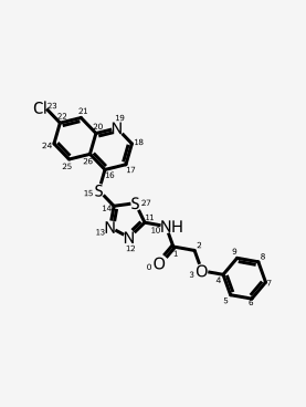 O=C(COc1ccccc1)Nc1nnc(Sc2ccnc3cc(Cl)ccc23)s1